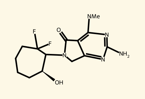 CNc1nc(N)nc2c1C(=O)N(C1[C@@H](O)CCCCC1(F)F)C2